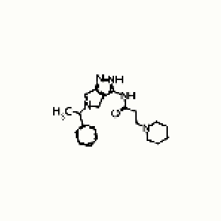 CC(c1ccccc1)N1Cc2n[nH]c(NC(=O)CCN3CCCCC3)c2C1